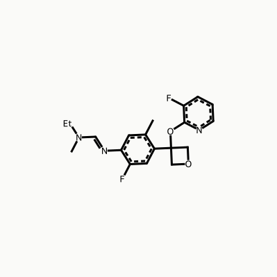 CCN(C)C=Nc1cc(C)c(C2(Oc3ncccc3F)COC2)cc1F